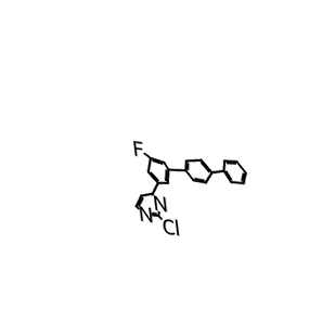 Fc1cc(-c2ccc(-c3ccccc3)cc2)cc(-c2ccnc(Cl)n2)c1